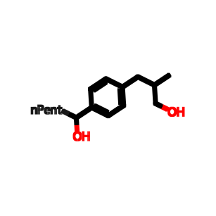 CCCCCC(O)c1ccc(CC(C)CO)cc1